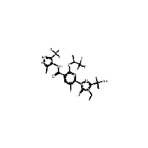 CCn1c(C(C)(C)O)nn(-c2nc(OC(C)C(F)(F)F)c(C(=O)Nc3c(C)n[nH]c3C(F)(F)F)cc2F)c1=O